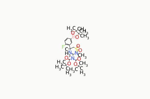 CN1C(N(C(=O)OC(C)(C)C)C(=O)OC(C)(C)C)=NC(C)(c2cc(B3OC(C)(C)C(C)(C)O3)ccc2F)CS1(=O)=O